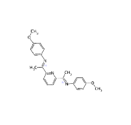 COc1ccc(/N=C(\C)c2cccc(/C(C)=N/c3ccc(OC)cc3)n2)cc1